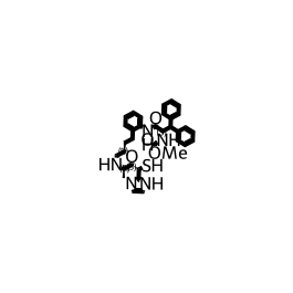 COC(=O)N[C@H](C(=O)Nc1ccccc1CC[C@@H]1CN[C@H](C)[C@@H](C(S)c2ncc[nH]2)O1)C(c1ccccc1)c1ccccc1